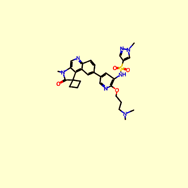 CN(C)CCCOc1ncc(-c2ccc3ncc4c(c3c2)C2(CCC2)C(=O)N4C)cc1NS(=O)(=O)c1cnn(C)c1